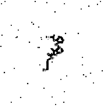 Cc1c(C(=O)NCC#CCC(C)C)sc2ncnc(Nc3cccnc3OC(C)C(F)(F)F)c12